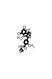 CSC1C(c2ccc(C(=O)NC3CSC3)c(C)c2)=NOC1(c1cc(Cl)cc(Cl)c1)C(F)(F)F